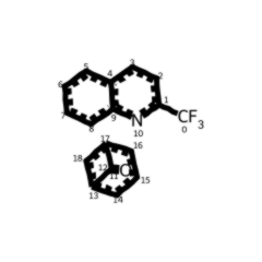 FC(F)(F)c1ccc2ccccc2n1.O=C1c2cccc1c2